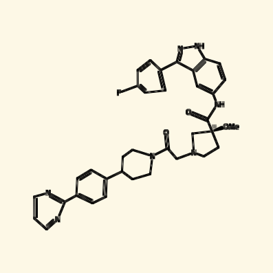 CO[C@@]1(C(=O)Nc2ccc3[nH]nc(-c4ccc(F)cc4)c3c2)CCN(CC(=O)N2CCC(c3ccc(-c4ncccn4)cc3)CC2)C1